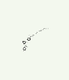 NCCOCCOCCOCCNC(=O)c1ccc(Oc2cc(Cl)ccc2NS(=O)(=O)c2ccc(Cl)c(C(F)(F)F)c2)cc1